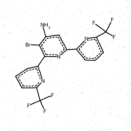 Nc1cc(-c2cccc(C(F)(F)F)n2)nc(-c2cccc(C(F)(F)F)n2)c1Br